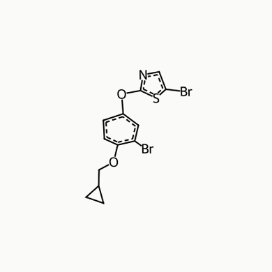 Brc1cnc(Oc2ccc(OCC3CC3)c(Br)c2)s1